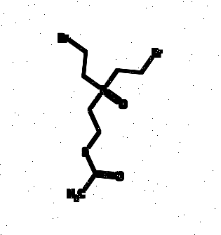 CC(=O)SCCP(=O)(CCBr)CCBr